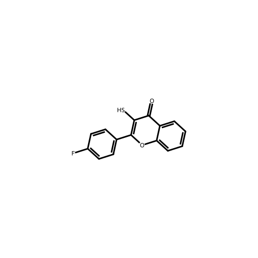 O=c1c(S)c(-c2ccc(F)cc2)oc2ccccc12